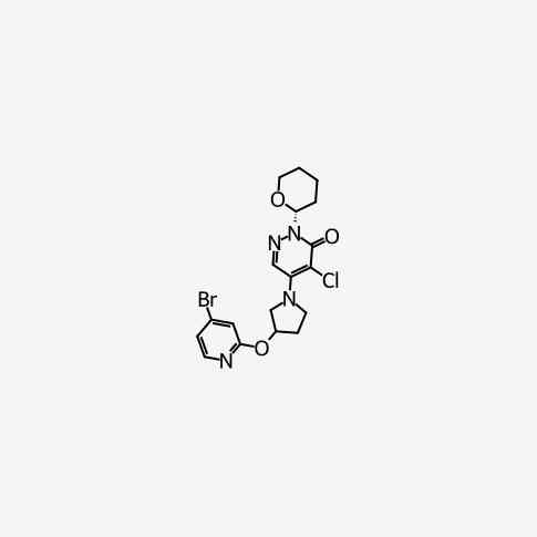 O=c1c(Cl)c(N2CCC(Oc3cc(Br)ccn3)C2)cnn1[C@H]1CCCCO1